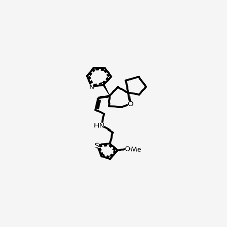 COc1ccsc1CNC/C=C\[C@@]1(c2ccccn2)CCOC2(CCCC2)C1